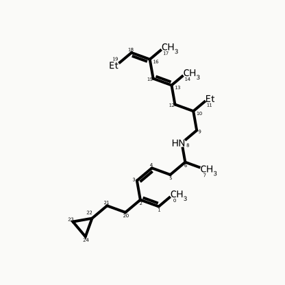 C/C=C(\C=C/CC(C)NCC(CC)C/C(C)=C/C(C)=C\CC)CCC1CC1